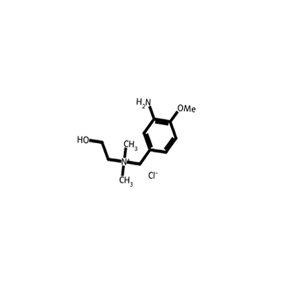 COc1ccc(C[N+](C)(C)CCO)cc1N.[Cl-]